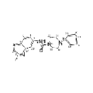 Cc1ccc2ccc(NC(=O)N3CCN(c4ccccc4)CC3)cc2n1